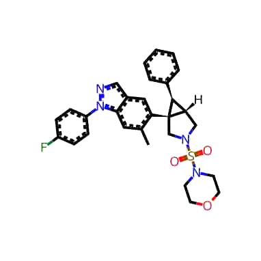 Cc1cc2c(cnn2-c2ccc(F)cc2)cc1[C@]12CN(S(=O)(=O)N3CCOCC3)C[C@H]1[C@@H]2c1ccccc1